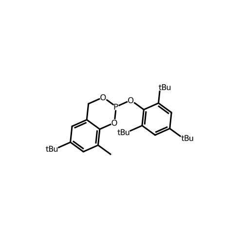 Cc1cc(C(C)(C)C)cc2c1OP(Oc1c(C(C)(C)C)cc(C(C)(C)C)cc1C(C)(C)C)OC2